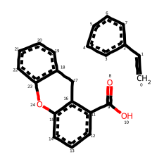 C=Cc1ccccc1.O=C(O)c1cccc2c1Cc1ccccc1O2